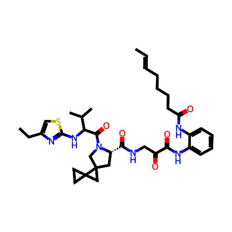 C/C=C/CCCCC(=O)Nc1ccccc1NC(=O)C(=O)CNC(=O)[C@@H]1CC2(CN1C(=O)C(Nc1nc(CC)cs1)C(C)C)CC21CC1